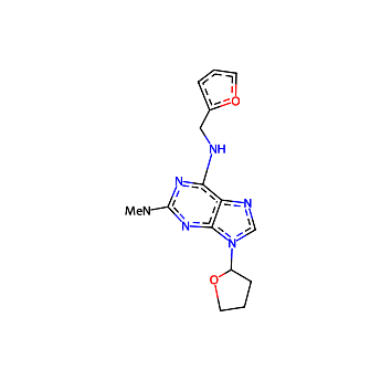 CNc1nc(NCc2ccco2)c2ncn(C3CCCO3)c2n1